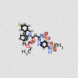 CCOC(=O)[C@@H]1[C@H]2CC[C@H](C2)[C@@H]1N(Cc1ccc(F)cc1)C(=O)CC1=NS(=O)(=O)c2cc(NS(C)(=O)=O)ccc2N1